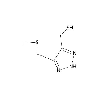 CSCc1n[nH]nc1CS